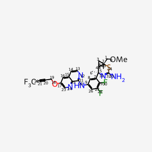 COC[C@]12C[C@H]1[C@](C)(c1cc(Nc3nccc4cc(OCC#CC(F)(F)F)cnc34)cc(F)c1F)N=C(N)S2